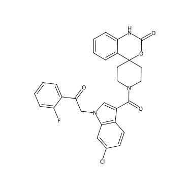 O=C1Nc2ccccc2C2(CCN(C(=O)c3cn(CC(=O)c4ccccc4F)c4cc(Cl)ccc34)CC2)O1